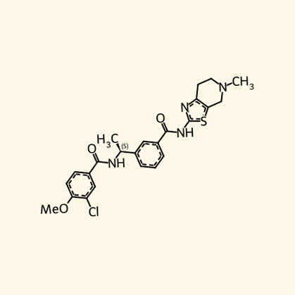 COc1ccc(C(=O)N[C@@H](C)c2cccc(C(=O)Nc3nc4c(s3)CN(C)CC4)c2)cc1Cl